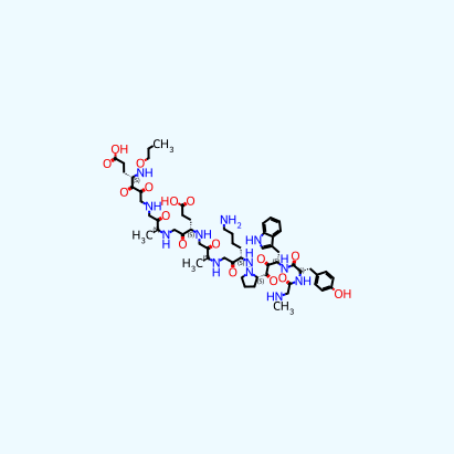 CCCON[C@@H](CCC(=O)O)C(=O)C(=O)CNCC(=O)[C@H](C)NCC(=O)[C@H](CCC(=O)O)NCC(=O)[C@H](C)NCC(=O)[C@H](CCCCN)NN1CCC[C@H]1C(=O)C(=O)[C@H](Cc1c[nH]c2ccccc12)NC(=O)[C@H](Cc1ccc(O)cc1)NC(=O)CNC